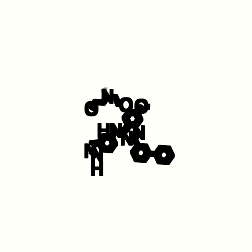 COc1cc2nc(-c3cccc(-c4ccccc4)c3)nc(Nc3ccc4[nH]ncc4c3)c2cc1OCCN(C)CC=O